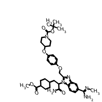 CN=C(N)c1ccc2c(c1)nc(COc1ccc(OC3CCN(C(=O)OC(C)(C)C)CC3)cc1)n2C(CC1CCC(C(=O)OC)CC1)C(N)=O